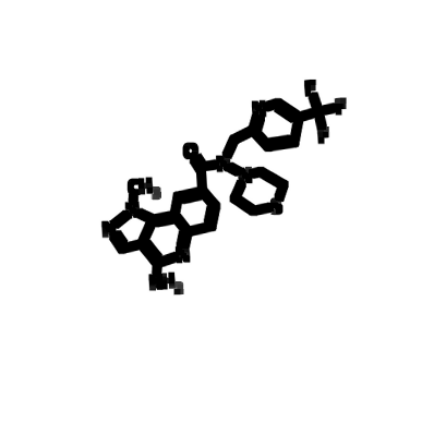 Cn1ncc2c(N)nc3ccc(C(=O)N(Cc4ccc(C(F)(F)F)cn4)N4CCSCC4)cc3c21